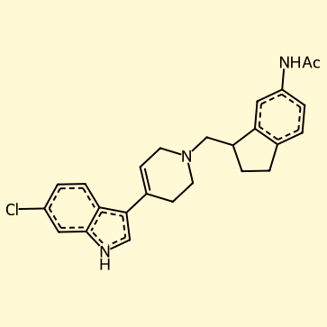 CC(=O)Nc1ccc2c(c1)C(CN1CC=C(c3c[nH]c4cc(Cl)ccc34)CC1)CC2